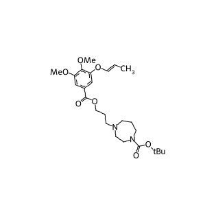 CC=COc1cc(C(=O)OCCCN2CCCN(C(=O)OC(C)(C)C)CC2)cc(OC)c1OC